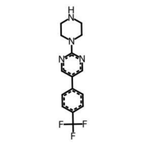 FC(F)(F)c1ccc(-c2cnc(N3CCNCC3)nc2)cc1